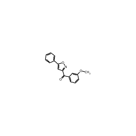 COc1cccc(C(=O)c2cc(-c3ccccc3)on2)c1